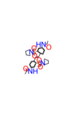 CC(=O)Nc1ccc(/C=C/c2ccc(NC(C)=O)cc2S(=O)(=O)N2CCCC2)c(S(=O)(=O)N2CCCC2)c1